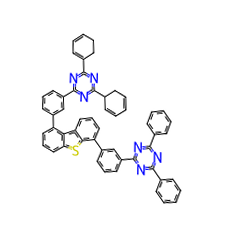 C1=CCCC(c2nc(-c3cccc(-c4cccc5sc6c(-c7cccc(-c8nc(-c9ccccc9)nc(-c9ccccc9)n8)c7)cccc6c45)c3)nc(C3C=CC=CC3)n2)=C1